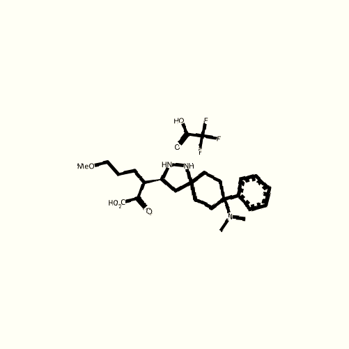 COCCCC(C(=O)C(=O)O)[C@@H]1CC2(CCC(c3ccccc3)(N(C)C)CC2)NN1.O=C(O)C(F)(F)F